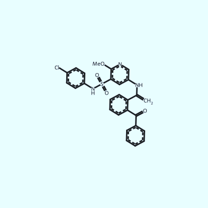 C=C(Nc1cnc(OC)c(S(=O)(=O)Nc2ccc(Cl)cc2)c1)c1ccccc1C(=O)c1ccccc1